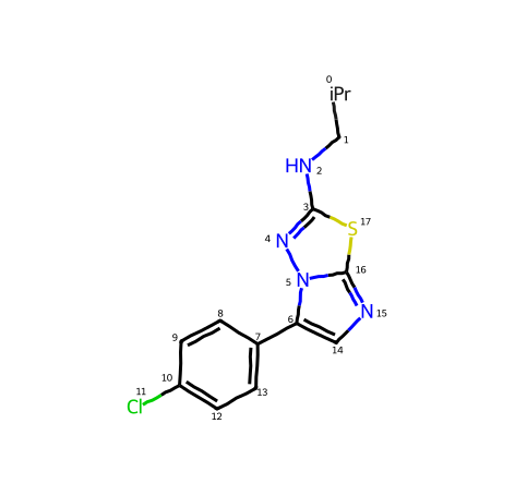 CC(C)CNc1nn2c(-c3ccc(Cl)cc3)cnc2s1